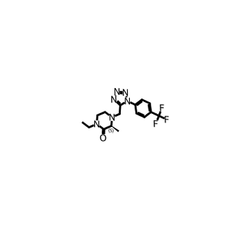 CCN1CCN(Cc2nnnn2-c2ccc(C(F)(F)F)cc2)[C@@H](C)C1=O